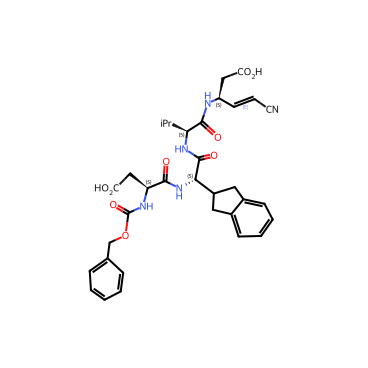 CC(C)[C@H](NC(=O)[C@@H](NC(=O)[C@H](CC(=O)O)NC(=O)OCc1ccccc1)C1Cc2ccccc2C1)C(=O)N[C@H](/C=C/C#N)CC(=O)O